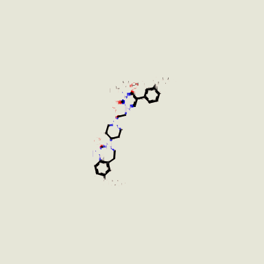 COc1ccc2c(c1)CCN(C1CCN(C(=O)Cn3cc(-c4cccc(OC)c4OC)c(=O)n(C(C)C)c3=O)CC1)C(=O)N2